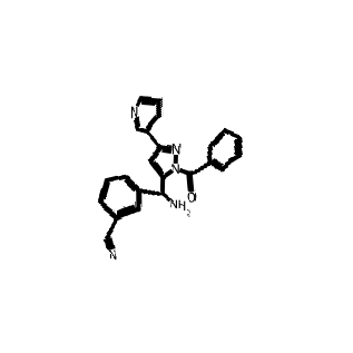 N#Cc1cccc(C(N)c2cc(-c3cccnc3)nn2C(=O)c2ccccc2)c1